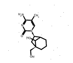 Cc1cn([C@@H]2C[C@@]3(CO)CCCC2C3O)c(=O)nc1N